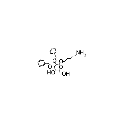 NCCCCCOC1OC(CO)C(O)C(OCc2ccccc2)C1OCc1ccccc1